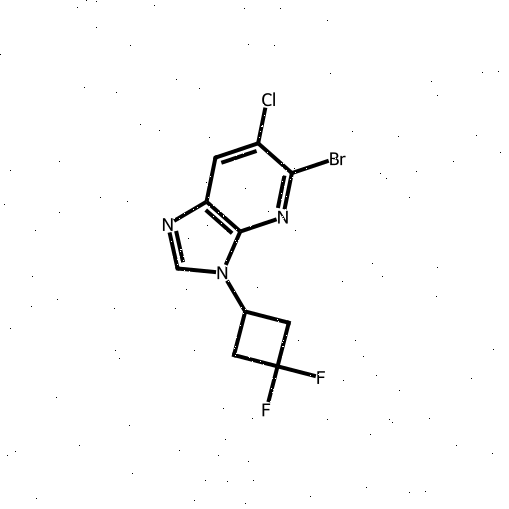 FC1(F)CC(n2cnc3cc(Cl)c(Br)nc32)C1